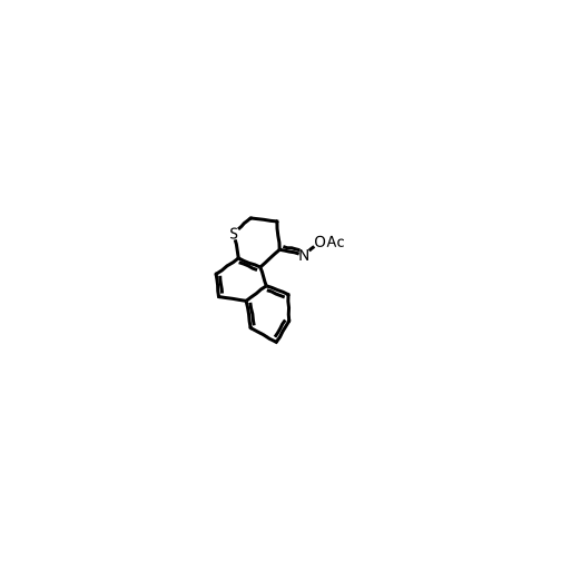 CC(=O)O/N=C1\CCSc2ccc3ccccc3c21